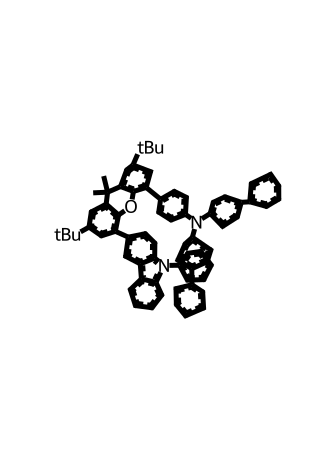 CC(C)(C)c1cc(-c2ccc(N(c3ccc(-c4ccccc4)cc3)c3ccc(-c4ccccc4)cc3)cc2)c2c(c1)C(C)(C)c1cc(C(C)(C)C)cc(-c3ccc4c(c3)c3ccccc3n4-c3ccccc3)c1O2